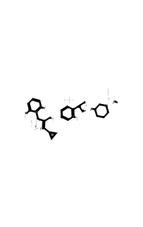 O=CNC1CCCC(N2CC(O)(c3ccc(OCc4c(-c5c(Cl)cccc5Cl)noc4C4CC4)cc3Cl)C2)C1